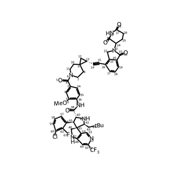 COc1cc(C(=O)N2CCC3(CC2)C[C@@H]3C#Cc2cccc3c2CN(C2CCC(=O)NC2=O)C3=O)ccc1NC(=O)[C@@H]1N[C@@H](CC(C)(C)C)[C@@]2(CNc3cc(C(F)(F)F)ncc32)[C@H]1c1cccc(Cl)c1F